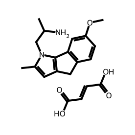 COc1ccc2c(c1)-c1c(cc(C)n1CC(C)N)C2.O=C(O)C=CC(=O)O